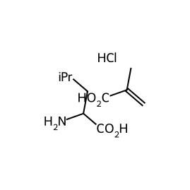 C=C(C)C(=O)O.CC(C)CC(N)C(=O)O.Cl